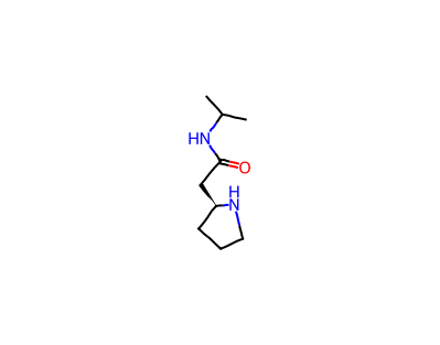 CC(C)NC(=O)C[C@@H]1CCCN1